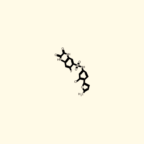 Cc1ccc(-c2ccc(NS(=O)(=O)c3cc4[nH]c(=O)c(=O)[nH]c4cc3F)cc2Cl)o1